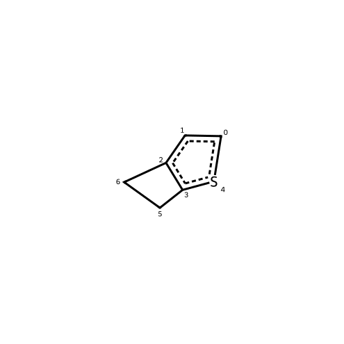 c1cc2c(s1)CC2